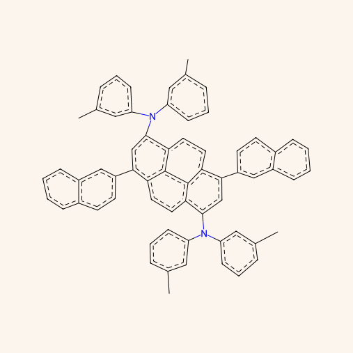 Cc1cccc(N(c2cccc(C)c2)c2cc(-c3ccc4ccccc4c3)c3ccc4c(N(c5cccc(C)c5)c5cccc(C)c5)cc(-c5ccc6ccccc6c5)c5ccc2c3c54)c1